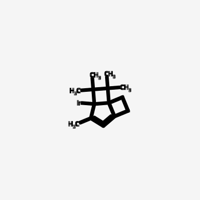 CC1=C=C2CCC23C(C)(C)C(C)(C)[C]13[Ir]